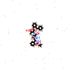 CC(C)(C)OC(=O)NC(C(=O)N[C@@H]1C(=O)N2C(C(=O)OC(c3ccccc3)c3ccccc3)=C(O)CS[C@H]12)C1=CCC=CC1